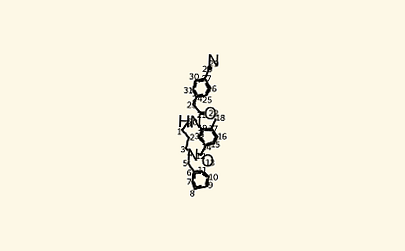 CCCCN(Cc1ccccc1)C(=O)c1ccc(C)c(NC(=O)Cc2ccc(C#N)cc2)c1